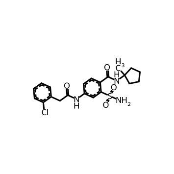 CC1(NC(=O)c2ccc(NC(=O)Cc3ccccc3Cl)cc2S(N)(=O)=O)CCCC1